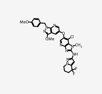 COc1ccc(Cn2nc(OC)c3cc(Oc4cnc5nc(Nc6cc7n(n6)CCCC7(F)F)n(C)c5c4Cl)cnc32)cc1